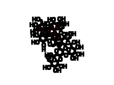 O=CC(OC1OC(CO)C(OC2OC(CO)C(O)C(O)C2O)C(OC2OC(CO)C(O)C(O)C2O)C1OC1OC(CO)C(O)C(O)C1O)C(OC1OC(CO)C(O)C(O)C1O)C(OC1OC(CO)C(O)C(O)C1O)C(COC1OC(CO)C(O)C(O)C1O)OC1OC(CO)C(O)C(O)C1O